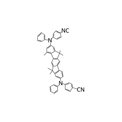 [C-]#[N+]c1ccc(N(c2ccccc2)c2cc(C)c3c(c2)C(C)(C)c2cc4c(cc2-3)C(C)(C)c2cc(N(c3ccccc3)c3ccc(C#N)cc3)ccc2-4)cc1